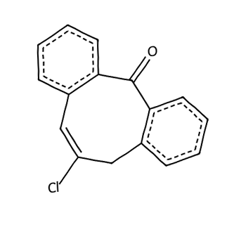 O=C1c2ccccc2C=C(Cl)Cc2ccccc21